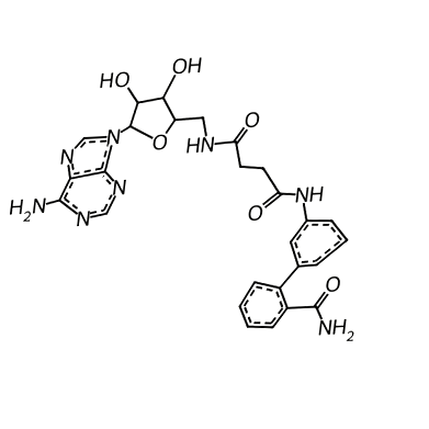 NC(=O)c1ccccc1-c1cccc(NC(=O)CCC(=O)NCC2OC(n3cnc4c(N)ncnc43)C(O)C2O)c1